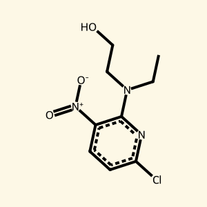 CCN(CCO)c1nc(Cl)ccc1[N+](=O)[O-]